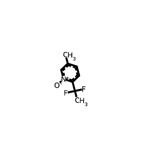 Cc1ccc(C(C)(F)F)[n+]([O-])c1